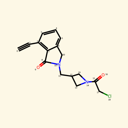 C#Cc1cccc2c1C(=O)N(CC1CN(C(=O)CCl)C1)C2